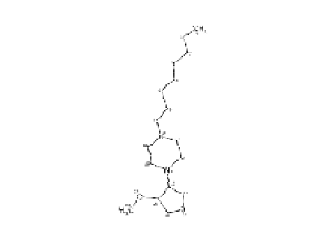 CCCCCCCCN1CCN(C2COCC2OC)CC1